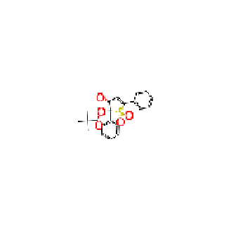 CC(C)(C)C(=O)OC1(c2ccccc2)C(=O)C=C(c2ccccc2)S1(=O)=O